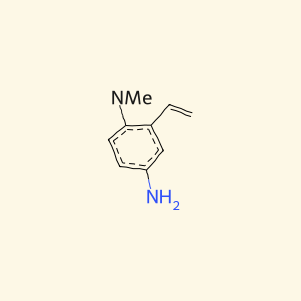 C=Cc1cc(N)ccc1NC